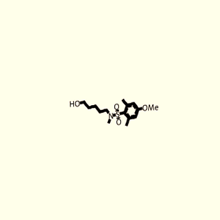 COc1cc(C)c(S(=O)(=O)N(C)CCCCCO)c(C)c1